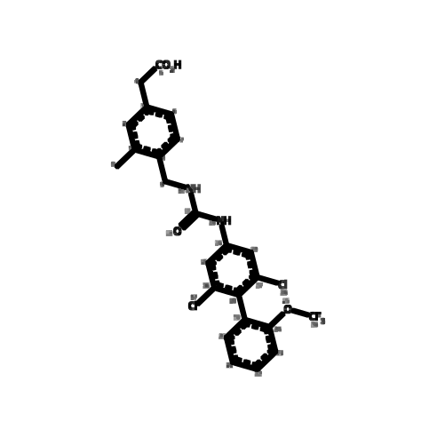 Cc1cc(CC(=O)O)ccc1CNC(=O)Nc1cc(Cl)c(-c2ccccc2OC(F)(F)F)c(Cl)c1